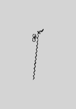 C=CC[N+](C)(C)CCC(CCCCCCCCCCCCC=CCCCCCCCC)P(=O)=O